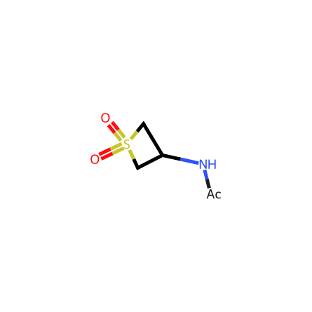 [CH2]C(=O)NC1CS(=O)(=O)C1